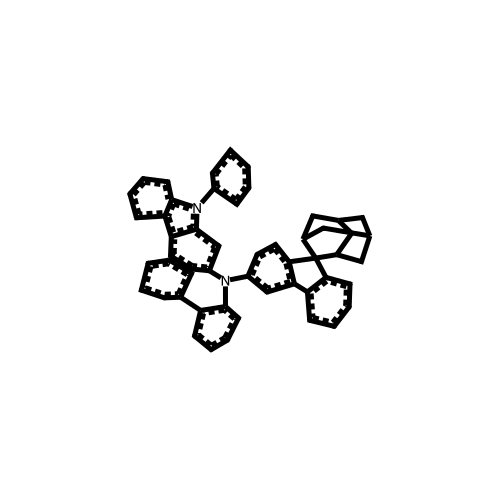 c1ccc(-c2ccccc2N(c2ccc3c(c2)-c2ccccc2C32C3CC4CC(C3)CC2C4)c2ccc3c4ccccc4n(-c4ccccc4)c3c2)cc1